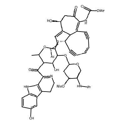 COC(=O)NC1=C2C#C/C=C\C#C[C@H](OC3OC(C)C(C(=O)C4=NCCc5c4[nH]c4ccc(O)cc54)C(O)C3OC3CC(OC)C(NC(C)C)CO3)C2/C(=C\CSC(C)=O)[C@@H](O)CC1=O